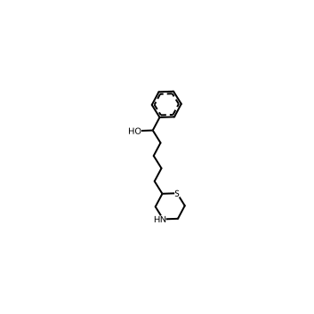 OC(CCCCC1CNCCS1)c1ccccc1